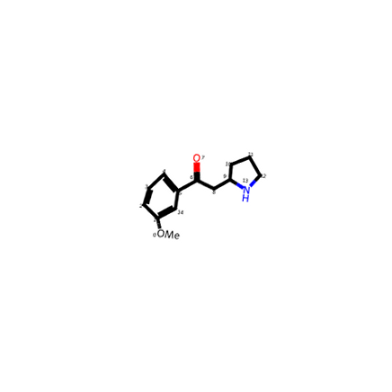 COc1cccc(C(=O)CC2CCCN2)c1